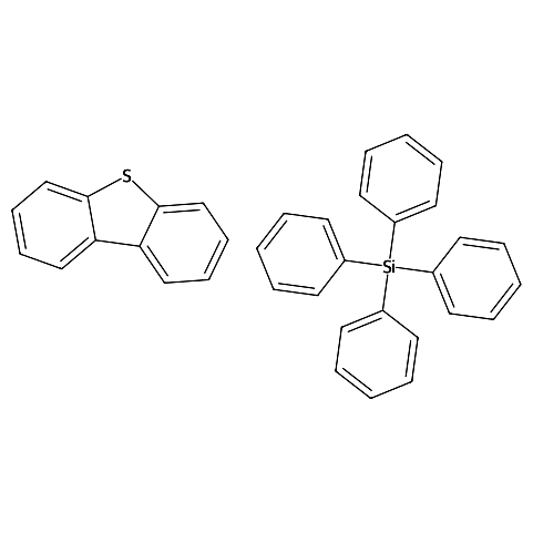 c1ccc([Si](c2ccccc2)(c2ccccc2)c2ccccc2)cc1.c1ccc2c(c1)sc1ccccc12